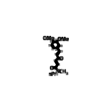 CCCN(C)C(=O)/C=C/C(=O)/C=C/c1ccc(OC)c(OC)c1